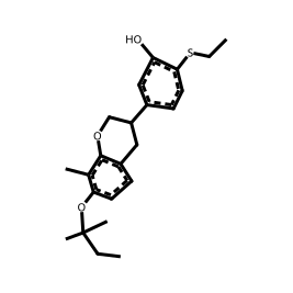 CCSc1ccc(C2COc3c(ccc(OC(C)(C)CC)c3C)C2)cc1O